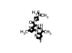 Cc1cc2nc(NC(C)c3cncc(F)c3)nc(C(=O)N3CC(N(C)C)C3)c2s1